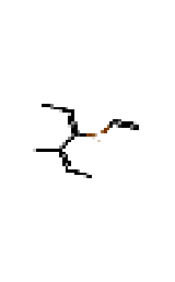 C=CSC(=C/C)/C(C)=C\C